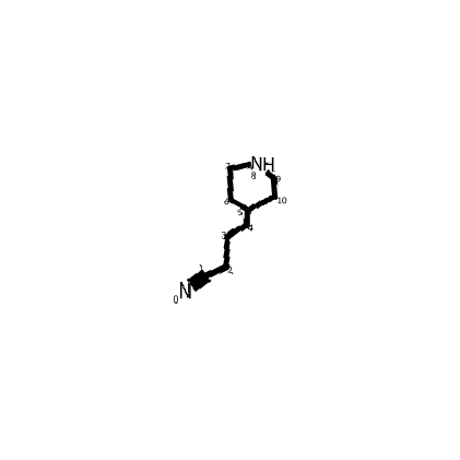 N#CCCCC1CCNCC1